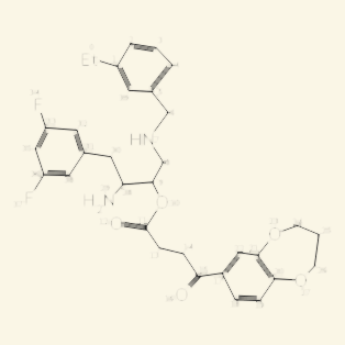 CCc1cccc(CNCC(OC(=O)CCC(=O)c2ccc3c(c2)OCCCO3)C(N)Cc2cc(F)cc(F)c2)c1